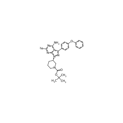 [2H]c1nc(N)c2c(-c3ccc(Oc4ccccc4)cc3)nn([C@@H]3CCCN(C(=O)OC(C)(C)C)C3)c2n1